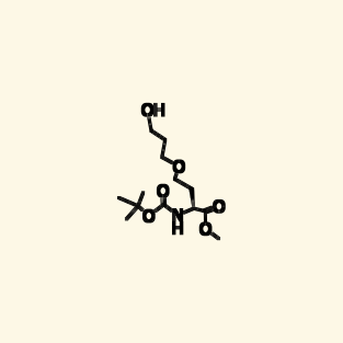 COC(=O)[C@H](CCOCCCO)NC(=O)OC(C)(C)C